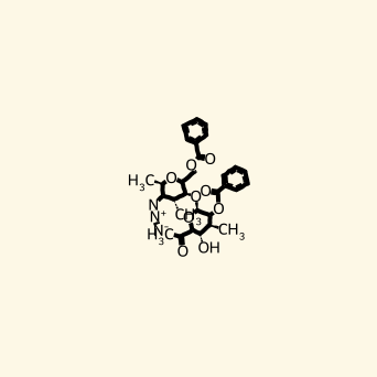 CC(=O)C1O[C@@H](O[C@@H]2C(COC(=O)c3ccccc3)O[C@H](C)C(N=[N+]=[N-])[C@H]2C)C(OC(=O)c2ccccc2)[C@@H](C)[C@@H]1O